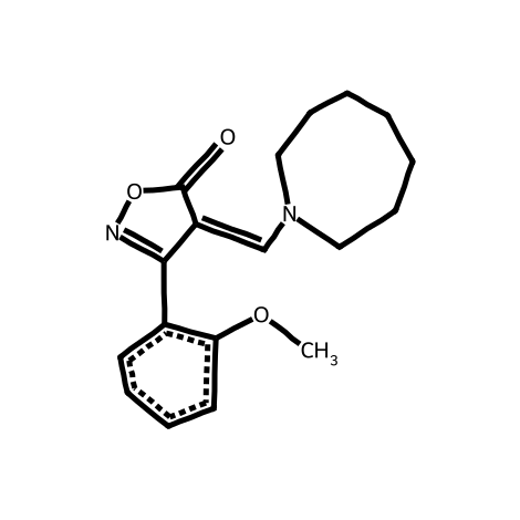 COc1ccccc1C1=NOC(=O)C1=CN1CCCCCCC1